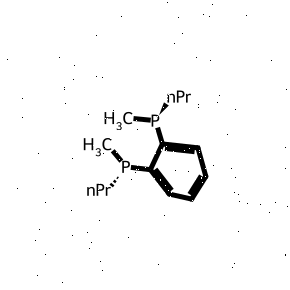 CCC[P@](C)c1ccccc1[P@@](C)CCC